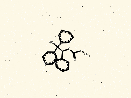 CCC(=O)OC(c1ccccc1)C(O)(c1ccccc1)c1ccccc1